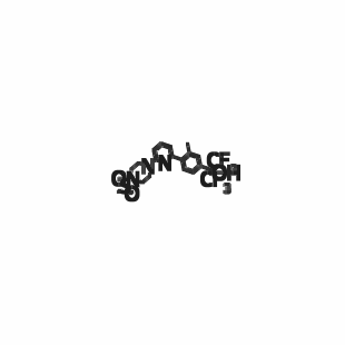 Cc1cc(C(O)(C(F)(F)F)C(F)(F)F)ccc1-c1cccc(N2CCN(S(C)(=O)=O)CC2)n1